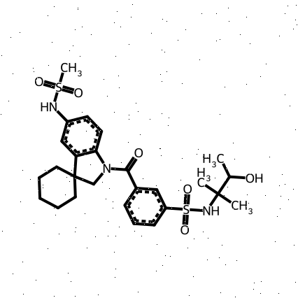 CC(O)C(C)(C)NS(=O)(=O)c1cccc(C(=O)N2CC3(CCCCC3)c3cc(NS(C)(=O)=O)ccc32)c1